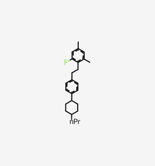 CCCC1CCC(c2ccc(CCc3c(C)cc(C)cc3F)cc2)CC1